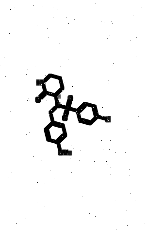 COc1ccc(CN([C@@H]2CCCNC2=O)S(=O)(=O)c2ccc(Cl)cc2)cc1